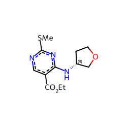 CCOC(=O)c1cnc(SC)nc1N[C@@H]1CCOC1